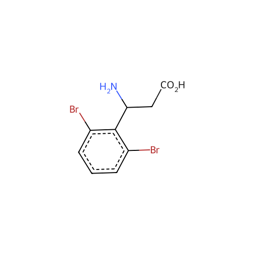 NC(CC(=O)O)c1c(Br)cccc1Br